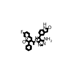 CC(c1cc2ccc(F)cn2c(=O)c1-c1ccccc1)n1nc(-c2ccc3c(c2)CC(=O)N3)c2c(N)ncnc21